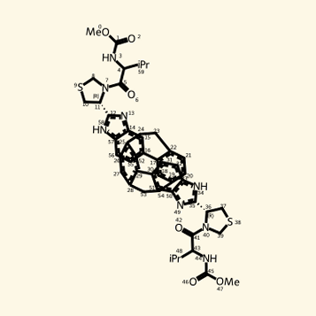 COC(=O)NC(C(=O)N1CSC[C@H]1c1nc2cc(-c3cc4ccc3CCc3ccc(c(-c5ccc6[nH]c([C@@H]7CSCN7C(=O)C(NC(=O)OC)C(C)C)nc6c5)c3)CC4)ccc2[nH]1)C(C)C